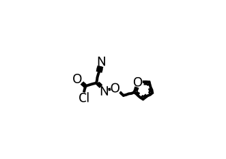 N#C/C(=N\OCc1ccco1)C(=O)Cl